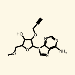 C#CCOC1C(O)C(COC)OC1n1cnc2c(N)ncnc21